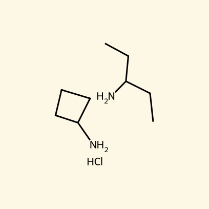 CCC(N)CC.Cl.NC1CCC1